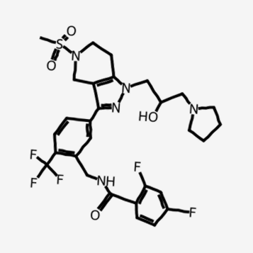 CS(=O)(=O)N1CCc2c(c(-c3ccc(C(F)(F)F)c(CNC(=O)c4ccc(F)cc4F)c3)nn2CC(O)CN2CCCC2)C1